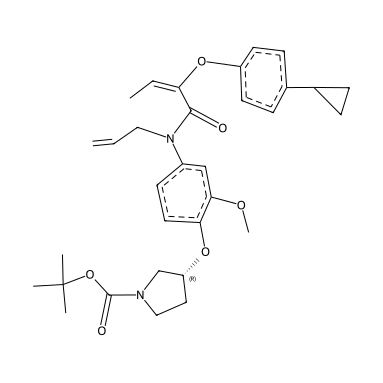 C=CCN(C(=O)C(=CC)Oc1ccc(C2CC2)cc1)c1ccc(O[C@@H]2CCN(C(=O)OC(C)(C)C)C2)c(OC)c1